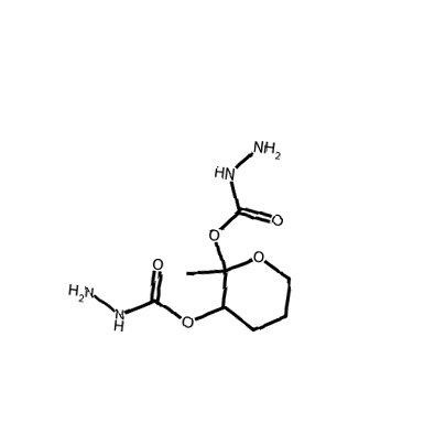 CC1(OC(=O)NN)OCCCC1OC(=O)NN